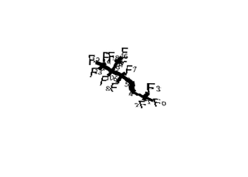 FC(F)(F)C=CC(F)(F)C(F)(C(F)(F)F)C(F)(F)F